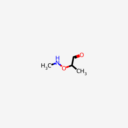 CNOC(C)C=O